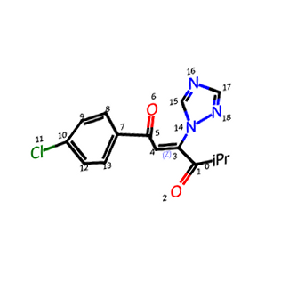 CC(C)C(=O)/C(=C/C(=O)c1ccc(Cl)cc1)n1cncn1